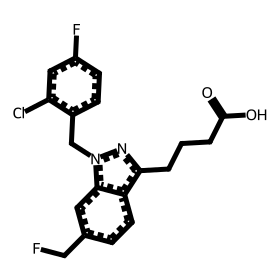 O=C(O)CCCc1nn(Cc2ccc(F)cc2Cl)c2cc(CF)ccc12